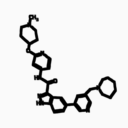 CN1CCC(Oc2cc(NC(=O)c3n[nH]c4ccc(-c5cncc(CN6CCCCCC6)c5)cc34)ccn2)CC1